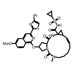 COc1ccc2c(OC3CC4C(=O)NC5(C(=O)NS(=O)(=O)C6CC6)CC5C=CCCCCN(C)C(=O)N4C3)nc(-c3nc(C(C)C)cs3)cc2c1